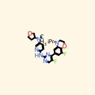 CC(C)N1CCOc2c(F)cc(-c3nc(Nc4ccc(N(C)C5CCOC5)cn4)ncc3F)cc21